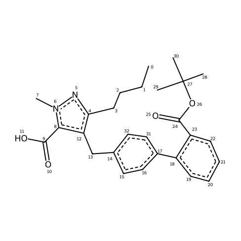 CCCCc1nn(C)c(C(=O)O)c1Cc1ccc(-c2ccccc2C(=O)OC(C)(C)C)cc1